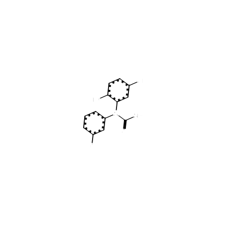 NC(=O)N(c1cccc(C(F)(F)F)c1)c1cc(Cl)ccc1O